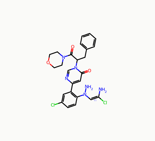 N/C(Cl)=C\N(N)c1ccc(Cl)cc1-c1cc(=O)n(C(Cc2ccccc2)C(=O)N2CCOCC2)cn1